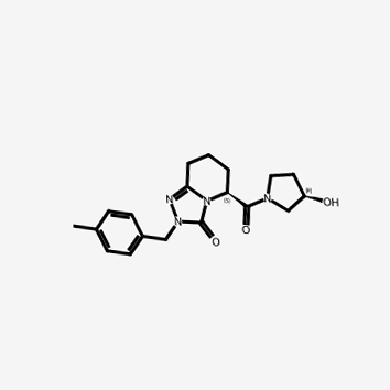 Cc1ccc(Cn2nc3n(c2=O)[C@H](C(=O)N2CC[C@@H](O)C2)CCC3)cc1